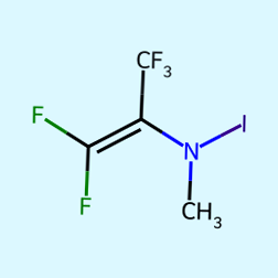 CN(I)C(=C(F)F)C(F)(F)F